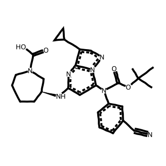 CC(C)(C)OC(=O)N(c1cccc(C#N)c1)c1cc(N[C@H]2CCCCN(C(=O)O)C2)nc2c(C3CC3)cnn12